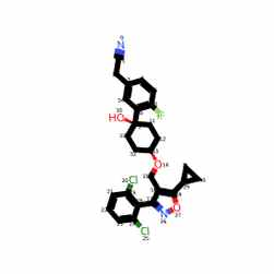 N#CCc1ccc(F)c([C@]2(O)CC[C@@H](OCc3c(-c4c(Cl)cccc4Cl)noc3C3CC3)CC2)c1